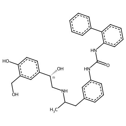 CC(Cc1cccc(NC(=O)Nc2ccccc2-c2ccccc2)c1)NC[C@@H](O)c1ccc(O)c(CO)c1